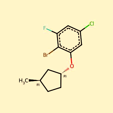 C[C@@H]1CC[C@@H](Oc2cc(Cl)cc(F)c2Br)C1